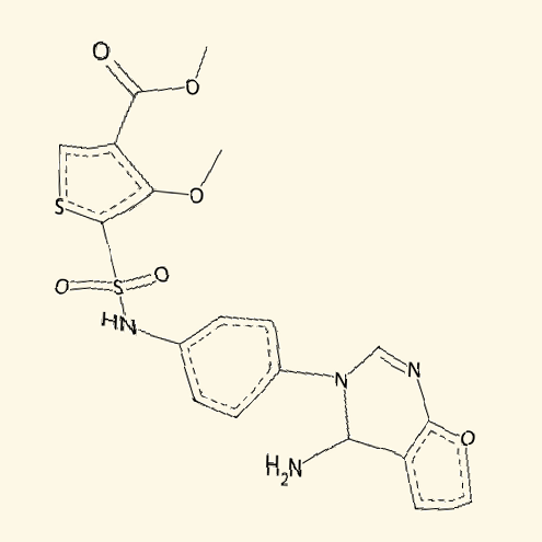 COC(=O)c1csc(S(=O)(=O)Nc2ccc(N3C=Nc4occc4C3N)cc2)c1OC